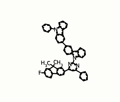 CC1(C)c2cc(F)ccc2-c2ccc(-c3cc(-c4ccccc4)nc(-n4c5ccccc5c5cc(-c6ccc7c(c6)c6ccccc6n7-c6ccccc6)ccc54)n3)cc21